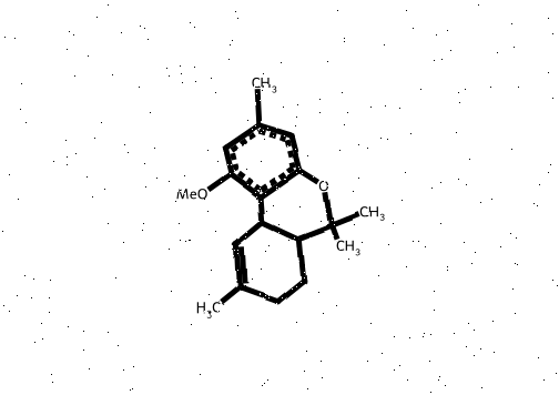 COc1cc(C)cc2c1C1C=C(C)CCC1C(C)(C)O2